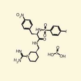 N=C(N)N1CCC[C@H](CNC(=O)[C@@H](Cc2ccc([N+](=O)[O-])cc2)NS(=O)(=O)c2ccc(I)cc2)C1.O=S(O)O